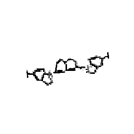 Ic1ccc2c(c1)CCN2C1=CC2=C/C(=[N+]3\CCc4cc(I)ccc43)CCC2CC1